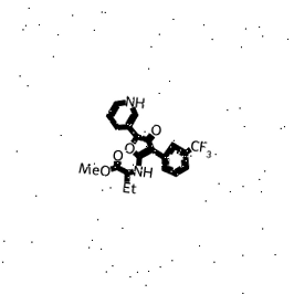 CCC(NC1=C(c2cccc(C(F)(F)F)c2)C(=O)C(C2=CNC=CC2)O1)C(=O)OC